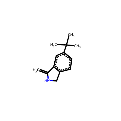 C=C1NCc2ccc(C(C)(C)C)cc21